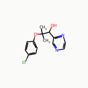 CC(C)(Oc1ccc(Cl)cc1)C(O)c1cnccn1